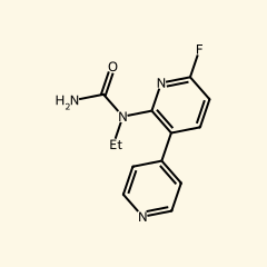 CCN(C(N)=O)c1nc(F)ccc1-c1ccncc1